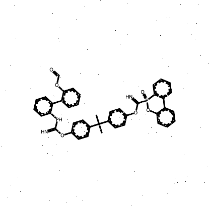 CC(C)(c1ccc(OC(=N)Pc2ccccc2-c2ccccc2OC=O)cc1)c1ccc(OC(=N)P2(=O)Oc3ccccc3-c3ccccc32)cc1